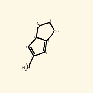 NC1=CC2OCOC2=C1